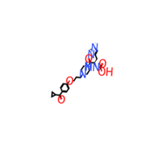 Cn1cnc(C[C@@H](NC(=O)O)C(=O)N2CCN(CCCOc3ccc(C(=O)C4CC4)cc3)CC2)c1